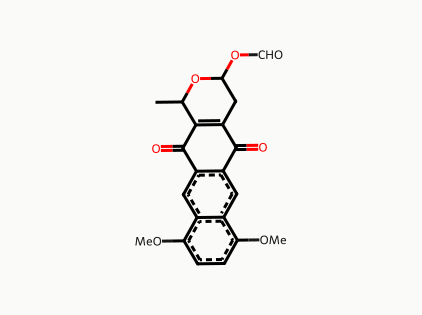 COc1ccc(OC)c2cc3c(cc12)C(=O)C1=C(C3=O)C(C)OC(OC=O)C1